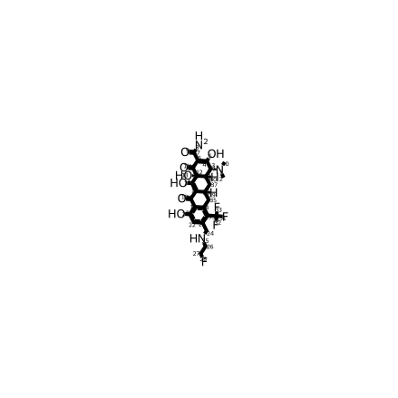 CN(C)[C@@H]1C(O)=C(C(N)=O)C(=O)[C@@]2(O)C(O)=C3C(=O)c4c(O)cc(CNCCF)c(C(F)(F)F)c4C[C@H]3C[C@@H]12